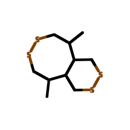 CC1CSSCC(C)C2CSSCC12